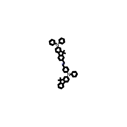 CC1(C)c2ccccc2-c2ccc(N(c3ccccc3)c3ccc(/C=C/c4ccc5c(c4)C(C)(C)c4cc(N(c6ccccc6)c6ccccc6)ccc4-5)cc3)cc21